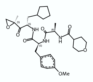 COc1ccc(C[C@H](NC(=O)[C@@H](C)NC(=O)C2CCOCC2)C(=O)N[C@@H](CC2CCCC2)C(=O)[C@]2(C)CO2)cc1